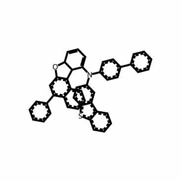 C1=CC2Oc3cc(-c4ccccc4)c4ccccc4c3C2C(N(c2ccc(-c3ccccc3)cc2)c2ccc3sc4ccccc4c3c2)=C1